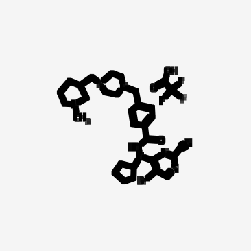 CN1CCCC(CN2CCN(Cc3ccc(C(=O)NN(c4nc(C#N)ncc4Br)C4CCCC4)cc3)CC2)C1.O=C(O)C(F)(F)F